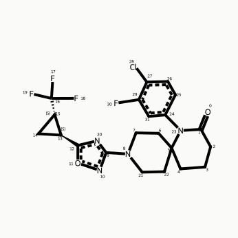 O=C1CCCC2(CCN(c3noc([C@H]4C[C@@H]4C(F)(F)F)n3)CC2)N1c1ccc(Cl)c(F)c1